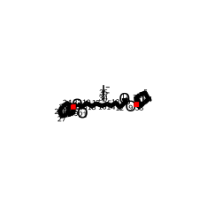 C[N+]1(C)C2CCC1CC(OC(=O)CCCCCCCCC(=O)OC1CC3CCC(C1)[N+]3(C)C)C2.[I-].[I-]